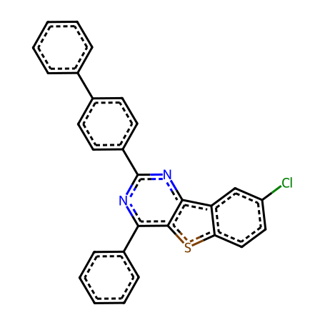 Clc1ccc2sc3c(-c4ccccc4)nc(-c4ccc(-c5ccccc5)cc4)nc3c2c1